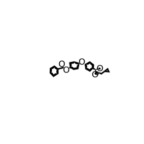 O=C(Oc1ccc(Oc2ccc(S(=O)(=O)CC3CC3)cc2)cc1)c1ccccc1